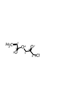 C=CC(=O)OCC(=O)CCl